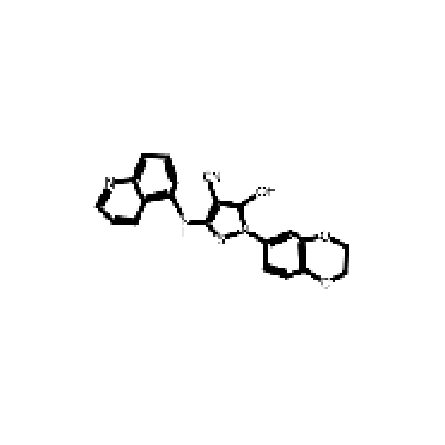 N#CC1=C(Nc2cccc3ncccc23)SN(c2ccc3c(c2)OCCO3)C1O